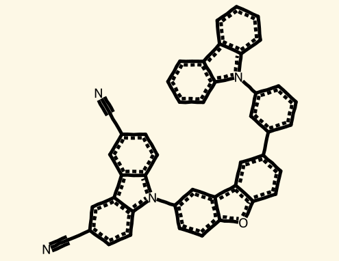 N#Cc1ccc2c(c1)c1cc(C#N)ccc1n2-c1ccc2oc3ccc(-c4cccc(-n5c6ccccc6c6ccccc65)c4)cc3c2c1